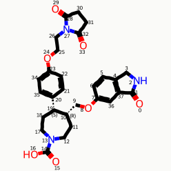 O=C1NCc2ccc(OC[C@@H]3CCN(C(=O)O)CC[C@@H]3c3ccc(OCCN4C(=O)CCC4=O)cc3)cc21